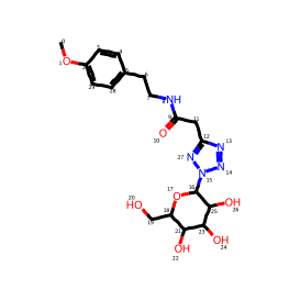 COc1ccc(CCNC(=O)Cc2nnn(C3OC(CO)C(O)C(O)C3O)n2)cc1